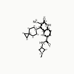 CN1CC(NC(=O)c2ccc3[nH]c(=O)c(C#N)c(N4CCC5(CC4)CC5)c3n2)C1